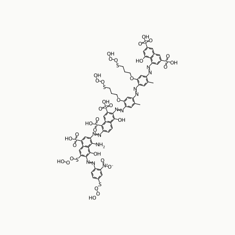 Cc1cc(N=Nc2c(S(=O)(=O)O)cc3c(S(=O)(=O)O)c(N=Nc4cc(S(=O)(=O)O)c5cc(SOOO)c(N=Nc6ccc(SOOO)cc6[N+](=O)[O-])c(O)c5c4N)ccc3c2O)c(OCCCSOOO)cc1N=Nc1cc(C)c(N=Nc2cc(S(=O)(=O)O)cc3cc(S(=O)(=O)O)cc(O)c23)cc1OCCCSOOO